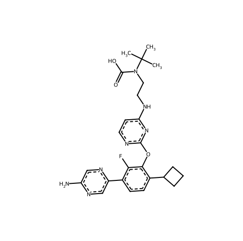 CC(C)(C)N(CCNc1ccnc(Oc2c(C3CCC3)ccc(-c3cnc(N)cn3)c2F)n1)C(=O)O